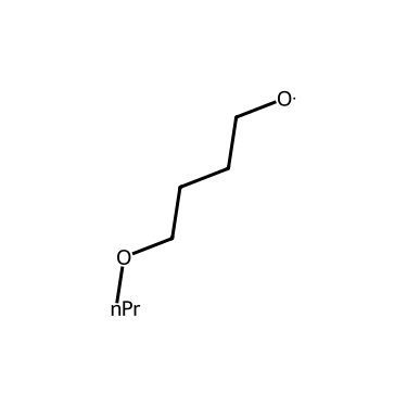 CCCOCCCC[O]